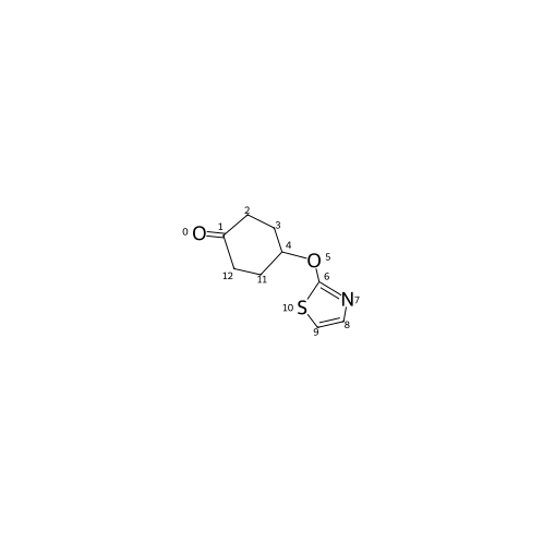 O=C1CCC(Oc2nccs2)CC1